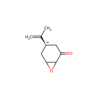 C=C(C)[C@H]1CC(=O)C2OC2C1